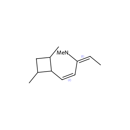 C/C=C(\C=C/C1C(C)CC1C)NC